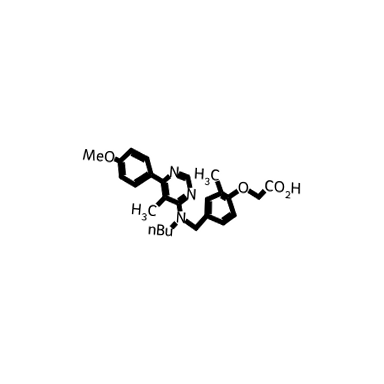 CCCCN(Cc1ccc(OCC(=O)O)c(C)c1)c1ncnc(-c2ccc(OC)cc2)c1C